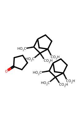 O=C(O)C1C2CCC(C(=O)O)(C2)C1(C(=O)O)C(=O)O.O=C(O)C1C2CCC(C(=O)O)(C2)C1(C(=O)O)C(=O)O.O=C1CCCC1